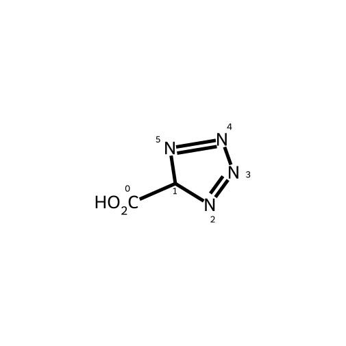 O=C(O)C1N=NN=N1